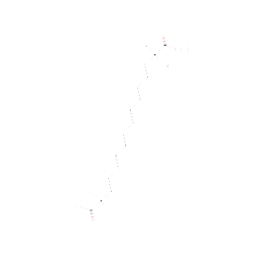 O=C(O)C(Cl)(Br)CCCCCCCCCCCCC(Cl)(Br)C(=O)O